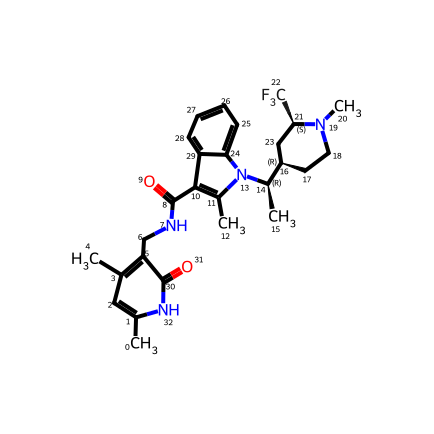 Cc1cc(C)c(CNC(=O)c2c(C)n([C@H](C)[C@@H]3CCN(C)[C@H](C(F)(F)F)C3)c3ccccc23)c(=O)[nH]1